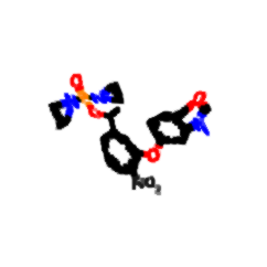 CC(OP(=O)(N1CC1)N1CC1)c1ccc([N+](=O)[O-])c(Oc2ccc3ocnc3c2)c1